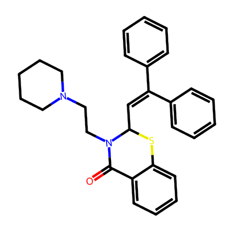 O=C1c2ccccc2SC(C=C(c2ccccc2)c2ccccc2)N1CCN1CCCCC1